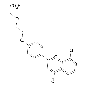 O=C(O)COCCOc1ccc(-c2cc(=O)c3cccc(Cl)c3o2)cc1